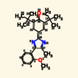 COc1ccccc1C1=NC(=C2C=C(C(C)(C)C)C(=O)C(C(C)(C)C)=C2)N=C1C